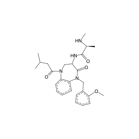 CN[C@@H](C)C(=O)NC1CN(C(=O)CC(C)C)c2ccccc2N(Cc2ccccc2OC)C1=O